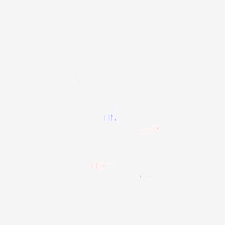 CC(O)C(=O)NCc1cccs1